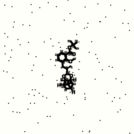 COc1c(C[C@@H](C)B2O[C@@H]3C[C@@H]4C[C@@H](C4(C)C)[C@]3(C)O2)cccc1C(=O)OC(C)(C)C